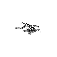 CCCCCCCCCCCCCC(=O)O[C@H](CCCCCCCCCCC)CC(=O)OC1C(NC)C(OC(=N)C(Cl)(Cl)Cl)OC(COCCCC)C1OP(=O)(OCCCC)OCCCC